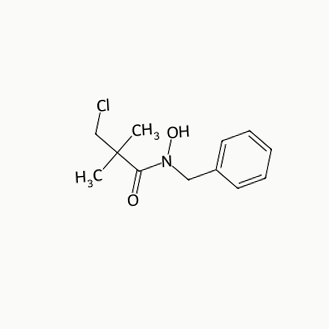 CC(C)(CCl)C(=O)N(O)Cc1ccccc1